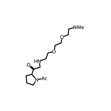 CNCCOCCOCCNCC(=O)C1CCCN1C(C)=O